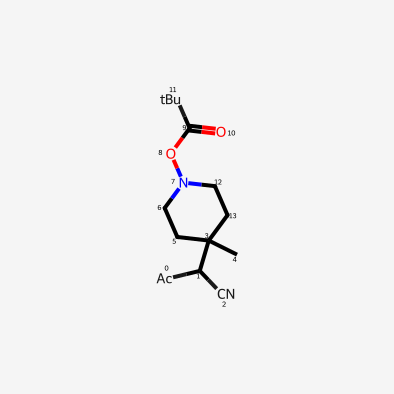 CC(=O)C(C#N)C1(C)CCN(OC(=O)C(C)(C)C)CC1